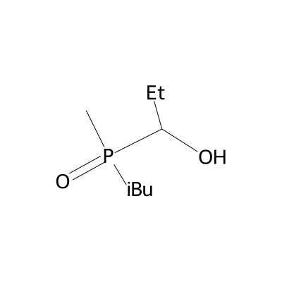 CCC(C)P(C)(=O)C(O)CC